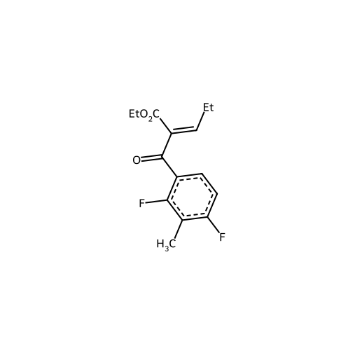 CCC=C(C(=O)OCC)C(=O)c1ccc(F)c(C)c1F